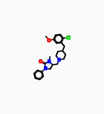 COc1ccc(Cl)c(CC2CCN(CC3CN(c4ccccc4)C(=O)N3C)CC2)c1